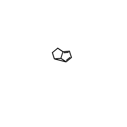 C1=C2CCC3C(=C1)C23